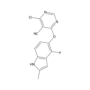 Cc1cc2c(F)c(Oc3ncnc(Cl)c3C#N)ccc2[nH]1